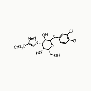 CCOC(=O)c1cn([C@H]2[C@@H](O)[C@@H](CO)OC(Sc3ccc(Cl)c(Cl)c3)[C@@H]2O)nn1